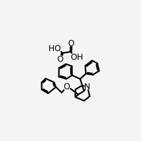 O=C(O)C(=O)O.c1ccc(COC2C3CCN(CC3)C2C(c2ccccc2)c2ccccc2)cc1